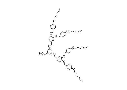 CCCCCCOc1ccc(COc2ccc(COc3cc(CO)cc(OCc4ccc(OCc5ccc(OCCCCCC)cc5)c(OCc5ccc(OCCCCCC)cc5)c4)c3)cc2OCc2ccc(OCCCCCC)cc2)cc1